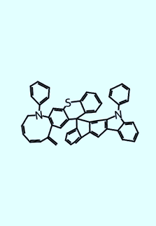 C=C1/C=C\C=C/CN(c2ccccc2)c2cc3c(cc21)C1(c2ccccc2S3)c2ccccc2-c2cc3c4ccccc4n(-c4ccccc4)c3cc21